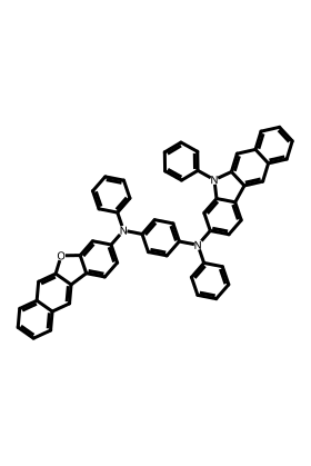 c1ccc(N(c2ccc(N(c3ccccc3)c3ccc4c5cc6ccccc6cc5n(-c5ccccc5)c4c3)cc2)c2ccc3c(c2)oc2cc4ccccc4cc23)cc1